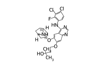 CC(C)(O)CCOc1cc2ncnc(Nc3ccc(Cl)c(Cl)c3F)c2cc1O[C@@H]1C[C@H]2CC[C@@H](C1)N2